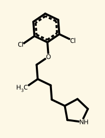 CC(CCC1CCNC1)COc1c(Cl)cccc1Cl